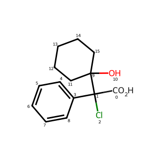 O=C(O)C(Cl)(c1ccccc1)C1(O)CCCCC1